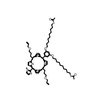 C=CCOCCCc1c2nc(c(-c3nccn3C)c3ccc([nH]3)c(CCCOCC=C)c3nc(c(-c4cc(OCCCCCCCCCCSC(C)=O)cc(OCCCCCCCCCCSC(C)=O)c4)c4ccc1[nH]4)C=C3)C=C2